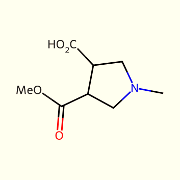 COC(=O)C1CN(C)CC1C(=O)O